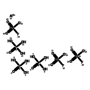 O=P(O)(O)O.O=P(O)(O)O.O=P(O)(O)O.O=S(=O)([O-])F.O=S(=O)([O-])F.O=S(=O)([O-])F.[Al+3]